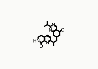 CC(C)c1ncc2c(n1)CC(CC(C)c1ccc3c(n1)C(=O)NCC3)CC2=O